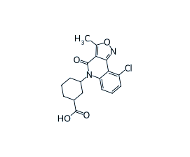 Cc1onc2c1c(=O)n(C1CCCC(C(=O)O)C1)c1cccc(Cl)c21